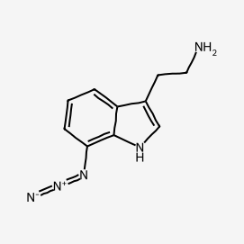 [N-]=[N+]=Nc1cccc2c(CCN)c[nH]c12